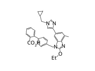 CCOc1nc2c(C)cc(-c3cn(CC4CC4)cn3)cc2n1Cc1ccc(-c2ccccc2C(=O)O)cc1